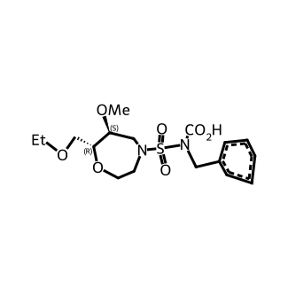 CCOC[C@H]1OCCN(S(=O)(=O)N(Cc2ccccc2)C(=O)O)C[C@@H]1OC